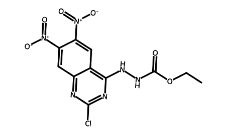 CCOC(=O)NNc1nc(Cl)nc2cc([N+](=O)[O-])c([N+](=O)[O-])cc12